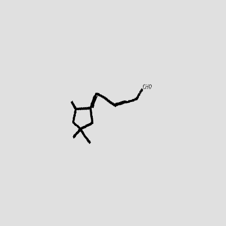 CC1CC(C)(C)CC1=CCCCC=O